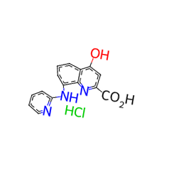 Cl.O=C(O)c1cc(O)c2cccc(Nc3ccccn3)c2n1